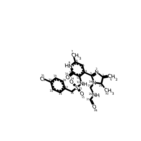 C=C1N=C(c2cc(C)[nH]c(=O)c2NS(=O)(=O)Cc2ccc(Cl)cc2)N(CNC=O)C1C